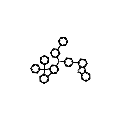 c1ccc(-c2cccc(N(c3ccc(-c4cccc5c4sc4ccccc45)cc3)c3ccc4c(c3)C(c3ccccc3)(c3ccccc3)c3ccccc3-4)c2)cc1